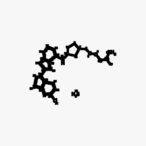 CN(N)SOOCC1CCC(Nc2ccnc3cc(-c4csc5cc(Cl)ccc45)nn23)C1.S